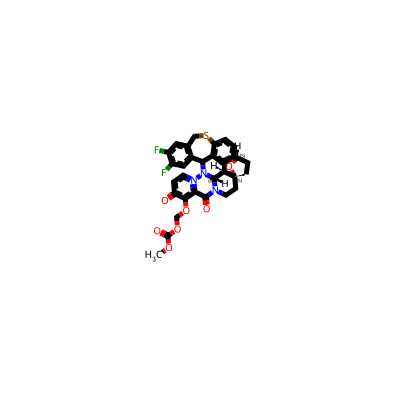 COC(=O)OCOc1c2n(ccc1=O)N(C1c3cc(F)c(F)cc3CSc3ccccc31)[C@@H]1[C@H]3C[C@@H]4CC[C@@]3(CCN1C2=O)O4